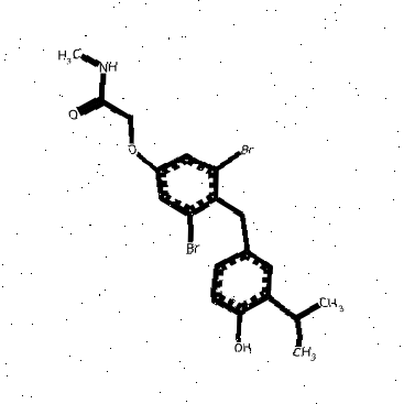 CNC(=O)COc1cc(Br)c(Cc2ccc(O)c(C(C)C)c2)c(Br)c1